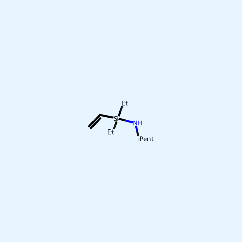 C=C[Si](CC)(CC)NC(C)CCC